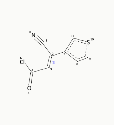 N#C/C(=C\C(=O)Cl)c1ccsc1